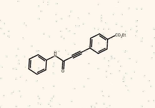 CCOC(=O)c1ccc(C#CC(=O)Nc2ccccc2)cc1